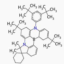 CC(C)(C)C1=CC=C2C(C1)B1C3=C4C(CC=C3)C3(CCCCC3)C(C)(C)N4C3=CC(C(C)(C)C)CC(=C13)N2c1cc(C(C)(C)C)cc(C(C)(C)C)c1